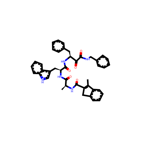 CC1=C(C(=O)N[C@@H](C)C(=O)N[C@@H](Cc2c[nH]c3ccccc23)C(=O)N[C@@H](Cc2ccccc2)C(=O)C(=O)NCc2ccccc2)Cc2ccccc21